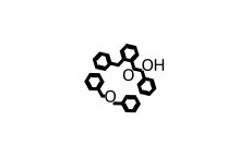 O=C(c1ccccc1Cc1ccccc1)C(O)c1ccccc1.c1ccc(COCc2ccccc2)cc1